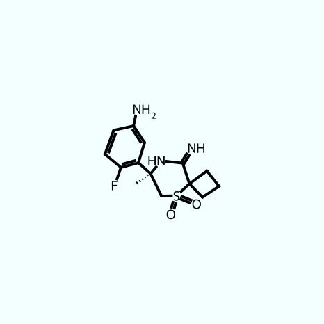 C[C@@]1(c2cc(N)ccc2F)CS(=O)(=O)C2(CCC2)C(=N)N1